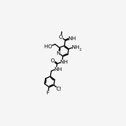 COC(=N)c1c(N)cc(NC(=O)NCc2ccc(F)c(Cl)c2)nc1CO